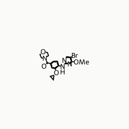 COc1nc(Nc2ccc(C(=O)N3CCOCC3)cc2OC2CC2)ncc1Br